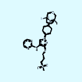 CS(=O)(=O)CCCOc1nn(C2CCC(N3[C@@H]4CC[C@H]3COC4)CC2)cc1Nc1ncccn1